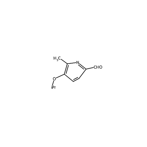 Cc1nc(C=O)ccc1OC(C)C